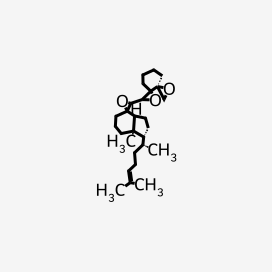 CC(C)=CCC[C@@H](C)[C@H]1CC[C@H]2C3(CCC[C@]12C)OC3C1OC12CCCC[C@]21CO1